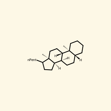 CCCCCC1CC[C@@H]2[C@@H]3CC[C@H]4CCCC[C@]4(C)[C@H]3CC[C@]12C